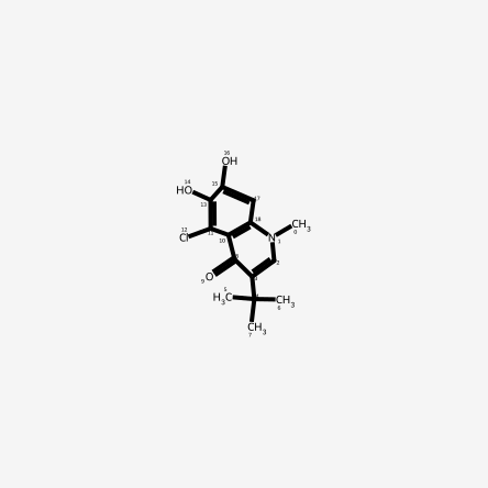 Cn1cc(C(C)(C)C)c(=O)c2c(Cl)c(O)c(O)cc21